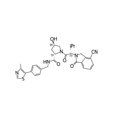 Cc1ncsc1-c1ccc(CNC(=O)[C@@H]2C[C@@H](O)CN2C(=O)[C@H](C(C)C)N2Cc3c(C#N)cccc3C2=O)cc1